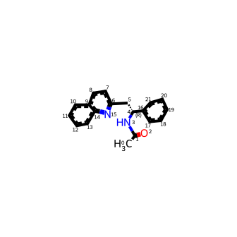 CC(=O)N[C@H](Cc1ccc2ccccc2n1)c1ccccc1